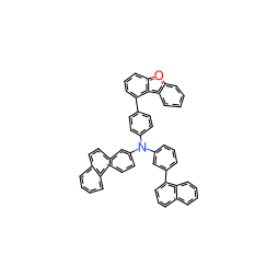 c1cc(-c2cccc3ccccc23)cc(N(c2ccc(-c3cccc4oc5ccccc5c34)cc2)c2ccc3c(ccc4ccccc43)c2)c1